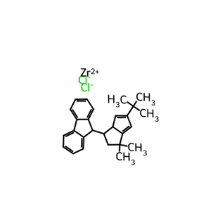 CC(C)(C)C1=CC2C(=C1)C(C)(C)CC2C1c2ccccc2-c2ccccc21.[Cl-].[Cl-].[Zr+2]